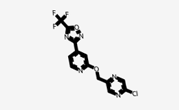 FC(F)(F)c1nc(-c2ccnc(OCc3cnc(Cl)cn3)c2)no1